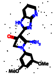 COc1cc(OC)cc(N2CC(=O)C(c3nc4ncccc4[nH]3)=C2N)c1